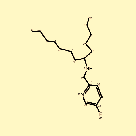 CCCCCCCC(CCCCC)NCc1ccc(F)cn1